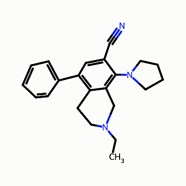 CCN1CCc2c(-c3ccccc3)cc(C#N)c(N3CCCC3)c2C1